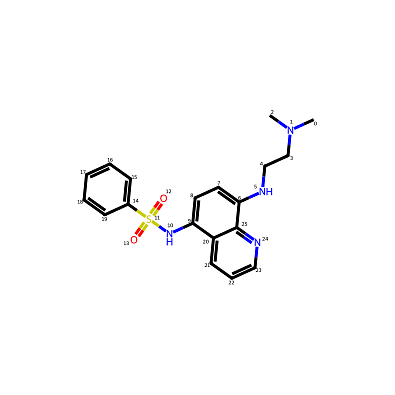 CN(C)CCNc1ccc(NS(=O)(=O)c2ccccc2)c2cccnc12